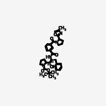 Cc1coc(C2CCCN2C(=O)c2cccc(C(=O)N[C@@H](Cc3ccccc3)[C@H](O)C3CCCN3C(=O)OC(C)(C)C)c2)n1